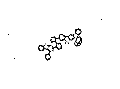 C[Si]1(C)c2cc(-c3ccccc3-c3ccccc3-c3nc(-c4ccccc4)c4c(n3)sc3ccccc34)ccc2-c2cc3c(cc21)C1(c2ccccc2-3)C2CC3CC(C2)CC1C3